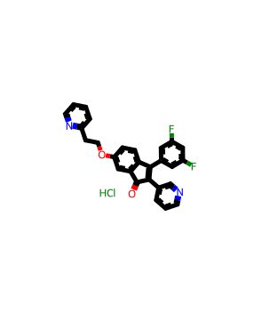 Cl.O=C1C(c2cccnc2)=C(c2cc(F)cc(F)c2)c2ccc(OCCc3ccccn3)cc21